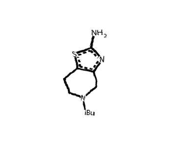 CCC(C)N1CCc2sc(N)nc2C1